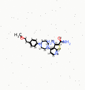 COCCc1ccc(N2CCCN(c3ccnc4sc(C(N)=O)c(N)c34)CC2)cc1